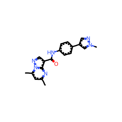 Cc1cc(C)n2ncc(C(=O)Nc3ccc(-c4cnn(C)c4)cc3)c2n1